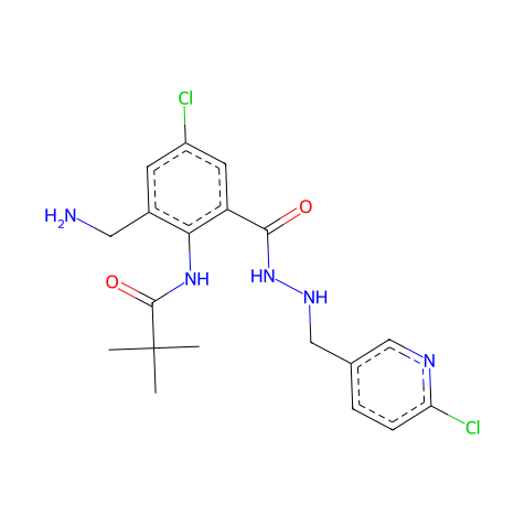 CC(C)(C)C(=O)Nc1c(CN)cc(Cl)cc1C(=O)NNCc1ccc(Cl)nc1